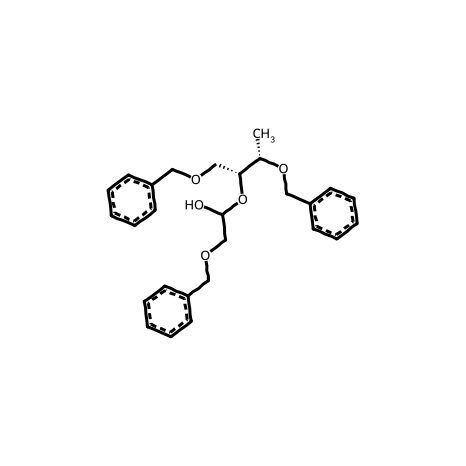 C[C@H](OCc1ccccc1)[C@@H](COCc1ccccc1)OC(O)COCc1ccccc1